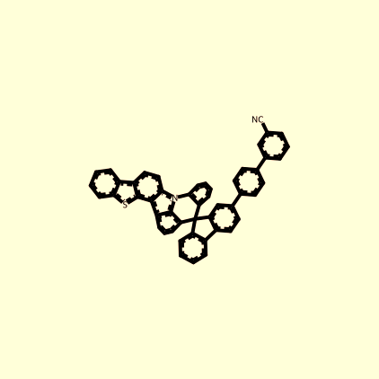 N#Cc1cccc(-c2ccc(-c3ccc4c(c3)C3(c5ccccc5-4)c4ccccc4-n4c5ccc6c7ccccc7sc6c5c5cccc3c54)cc2)c1